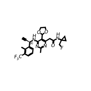 C#C[C@@H](Nc1nc(C)nc(CC(=O)NC2(CF)CC2)c1C1OCCO1)c1cccc(C(F)(F)F)c1C